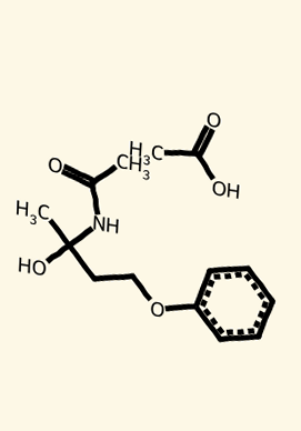 CC(=O)NC(C)(O)CCOc1ccccc1.CC(=O)O